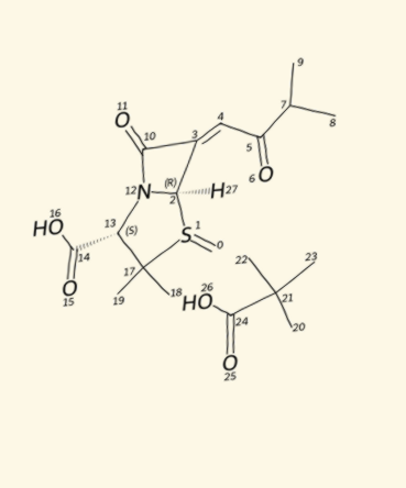 C=S1[C@@H]2C(=CC(=O)C(C)C)C(=O)N2[C@@H](C(=O)O)C1(C)C.CC(C)(C)C(=O)O